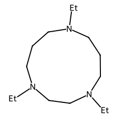 CCN1CCCN(CC)CCN(CC)CCC1